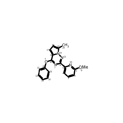 COc1cccc(-c2nc(Oc3ccccc3)c3ccc(C)n3n2)n1